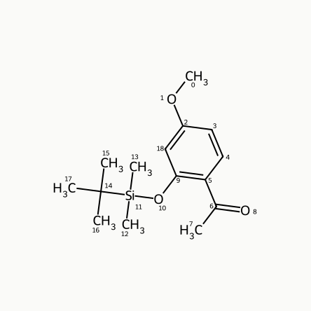 COc1ccc(C(C)=O)c(O[Si](C)(C)C(C)(C)C)c1